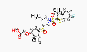 CCCN(CC[S+]([O-])c1ccc(OCC(=O)O)c(C)c1)S(=O)(=O)c1sc2cc(F)ccc2c1C